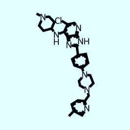 Cc1ccc(CN2CCN(c3ccc(-c4nc5c(NC6CCN(C)CC6)c(Cl)cnc5[nH]4)cc3)CC2)nc1